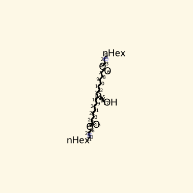 CCCCCC/C=C/COC(=O)CCCCCCCN(CCO)CCCCCCCC(=O)OC/C=C/CCCCCC